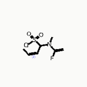 C=C(F)N(C)C(/C=C\C)S(=O)(=O)Cl